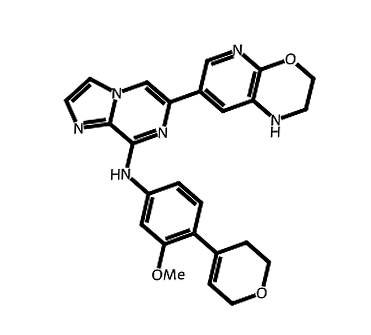 COc1cc(Nc2nc(-c3cnc4c(c3)NCCO4)cn3ccnc23)ccc1C1=CCOCC1